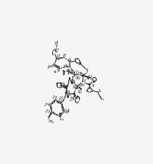 CCOC(=O)[C@@H]1[C@H]2COC3C=C(OC)C=CC3[C@H]2N2C(=O)N(c3ccc(C)cc3)C(=O)[C@@]12C